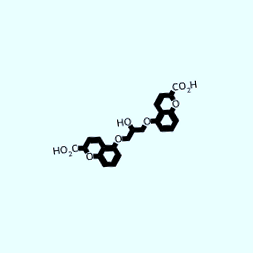 O=C(O)C1C=Cc2c(OCC(O)COc3cccc4c3C=CC(C(=O)O)O4)cccc2O1